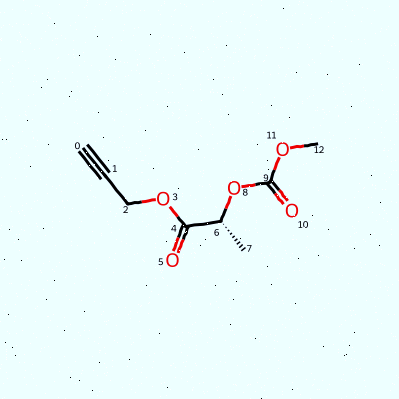 C#CCOC(=O)[C@@H](C)OC(=O)OC